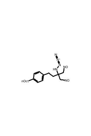 CCCCCCCCc1ccc(CCC(CN=O)(CN=O)NN=[N+]=[N-])cc1